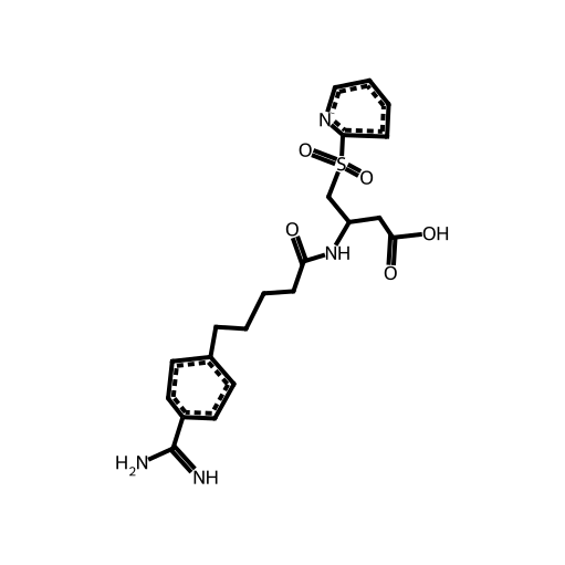 N=C(N)c1ccc(CCCCC(=O)NC(CC(=O)O)CS(=O)(=O)c2ccccn2)cc1